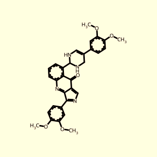 COc1ccc(C2=CNC(c3cccc4c3C(=O)C3=CN=C(c5ccc(OC)c(OC)c5)C3=N4)NC2)cc1OC